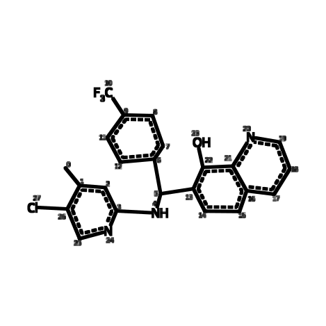 Cc1cc(NC(c2ccc(C(F)(F)F)cc2)c2ccc3cccnc3c2O)ncc1Cl